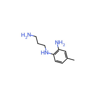 Cc1ccc(NCCCN)c(N)c1